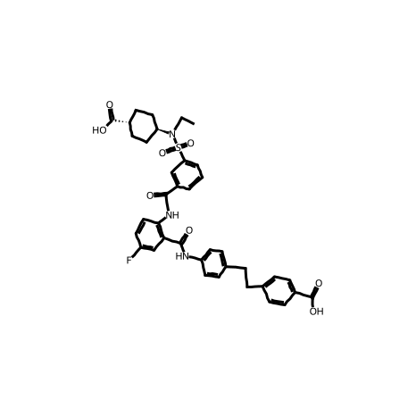 CCN([C@H]1CC[C@H](C(=O)O)CC1)S(=O)(=O)c1cccc(C(=O)Nc2ccc(F)cc2C(=O)Nc2ccc(CCc3ccc(C(=O)O)cc3)cc2)c1